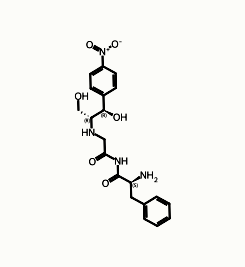 N[C@@H](Cc1ccccc1)C(=O)NC(=O)CN[C@H](CO)[C@H](O)c1ccc([N+](=O)[O-])cc1